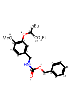 CCCCC(Oc1cc(CNC(=O)OCc2ccccc2)ccc1OC)C(=O)OCC